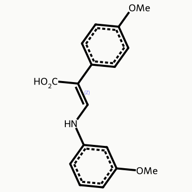 COc1ccc(/C(=C/Nc2cccc(OC)c2)C(=O)O)cc1